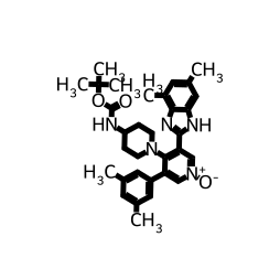 Cc1cc(C)cc(-c2c[n+]([O-])cc(-c3nc4c(C)cc(C)cc4[nH]3)c2N2CCC(NC(=O)OC(C)(C)C)CC2)c1